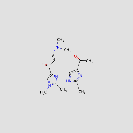 CC(=O)c1c[nH]c(C)n1.Cc1nc(C(=O)C=CN(C)C)cn1C